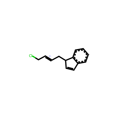 ClC/C=C/CC1C=Cc2c[c]ccc21